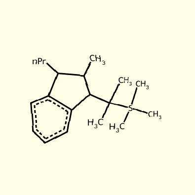 CCCC1c2ccccc2C(C(C)(C)S(C)(C)C)C1C